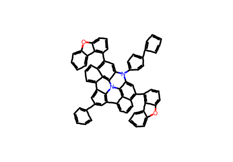 c1ccc(-c2ccc(-n3c4cc(-c5cccc6oc7ccccc7c56)c5cccc6c7cc(-c8ccccc8)cc8c9cccc%10c(-c%11cccc%12oc%13ccccc%13c%11%12)cc3c(c%109)n(c78)c4c56)cc2)cc1